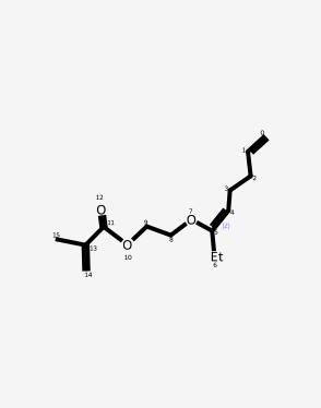 C=CCC/C=C(/CC)OCCOC(=O)C(=C)C